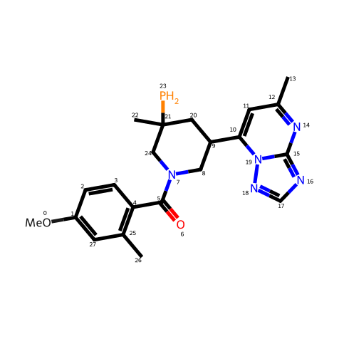 COc1ccc(C(=O)N2CC(c3cc(C)nc4ncnn34)CC(C)(P)C2)c(C)c1